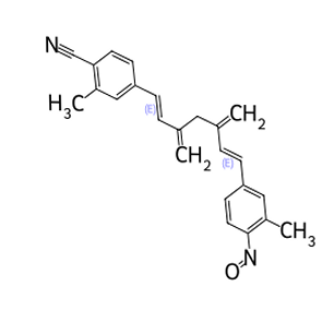 C=C(/C=C/c1ccc(C#N)c(C)c1)CC(=C)/C=C/c1ccc(N=O)c(C)c1